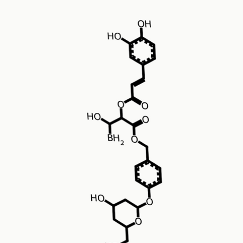 BC(O)C(OC(=O)/C=C/c1ccc(O)c(O)c1)C(=O)OCc1ccc(OC2CC(O)CC(CO)O2)cc1